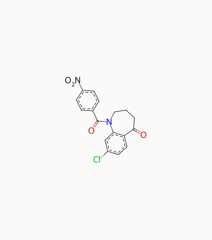 O=C1CCCN(C(=O)c2ccc([N+](=O)[O-])cc2)c2cc(Cl)ccc21